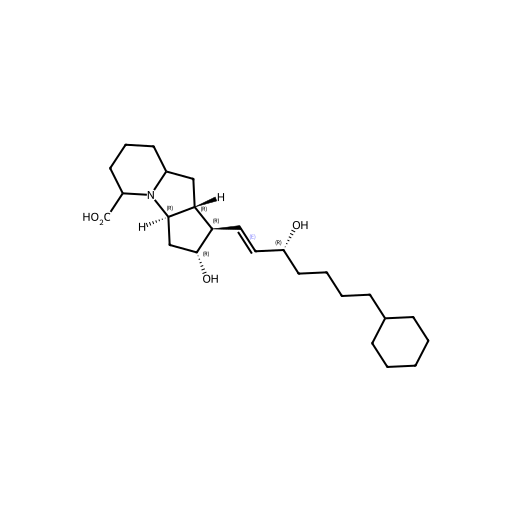 O=C(O)C1CCCC2C[C@@H]3[C@@H](/C=C/[C@H](O)CCCCC4CCCCC4)[C@H](O)C[C@H]3N21